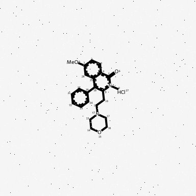 COc1ccc2c(=O)n(C)c(CCN3CCOCC3)c(-c3ccccc3)c2c1.Cl